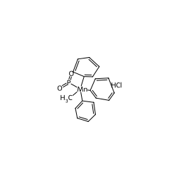 Cl.[CH3][Mn]([c]1ccccc1)([c]1ccccc1)([c]1ccccc1)[P](=O)=O